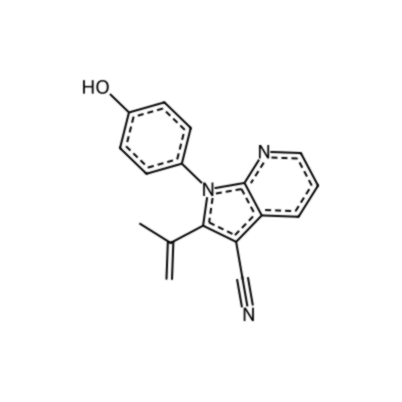 C=C(C)c1c(C#N)c2cccnc2n1-c1ccc(O)cc1